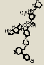 CC1(C)CCC(CN2CCN(c3ccc(C(=O)NS(=O)(=O)c4ccc(NCC5(F)CCCOC5)c([N+](=O)[O-])c4)c(-n4ncc5nc6[nH]ccc6cc54)c3)CC2)=C(c2ccc(Cl)cc2)C1